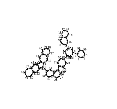 c1ccc(-c2nc(-c3ccc4ccccc4c3)nc(-c3ccc4c(c3)oc3ccc5ccc(-n6c7cc8ccccc8cc7c7cc8ccccc8cc76)cc5c34)n2)cc1